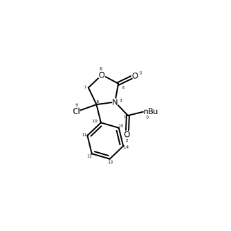 CCCCC(=O)N1C(=O)OCC1(Cl)c1ccccc1